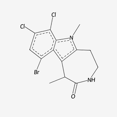 CC1C(=O)NCCc2c1c1c(Br)cc(Cl)c(Cl)c1n2C